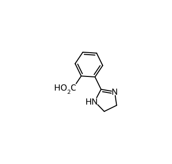 O=C(O)c1ccccc1C1=NCCN1